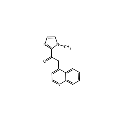 Cn1ccnc1C(=O)Cc1ccnc2ccccc12